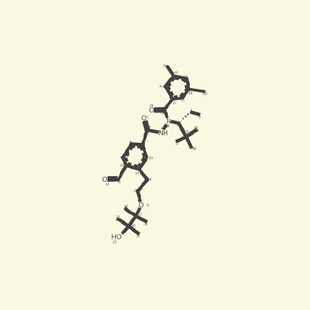 CC[C@@H](N(NC(=O)c1ccc(C=O)c(CCOC(C)(C)C(C)(C)O)c1)C(=O)c1cc(C)cc(C)c1)C(C)(C)C